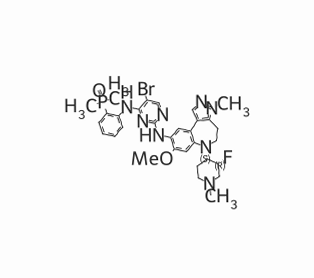 COc1cc2c(cc1Nc1ncc(Br)c(Nc3ccccc3P(C)(C)=O)n1)-c1cnn(C)c1CCN2[C@H]1CCN(C)C[C@H]1F